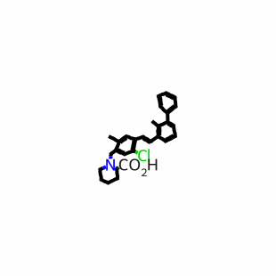 Cc1cc(C=Cc2cccc(-c3ccccc3)c2C)c(Cl)cc1CN1CCCCC1C(=O)O